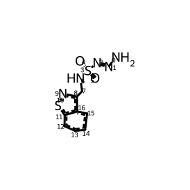 NN=NS(=O)(=O)NCc1nsc2ccccc12